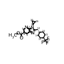 COC(=O)c1cnc2c(c1)nc(C[C@H]1CC[C@H](C(F)(F)F)CC1)n2C1CC1